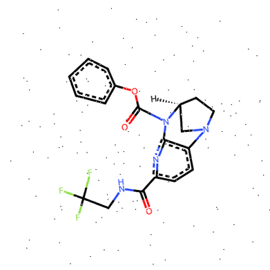 O=C(NCC(F)(F)F)c1ccc2c(n1)N(C(=O)Oc1ccccc1)[C@H]1CCN2C1